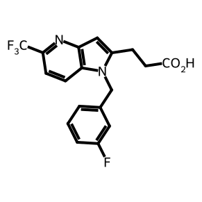 O=C(O)CCc1cc2nc(C(F)(F)F)ccc2n1Cc1cccc(F)c1